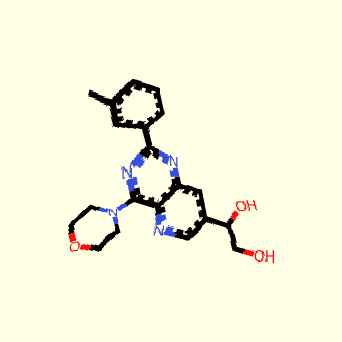 Cc1cccc(-c2nc(N3CCOCC3)c3ncc(C(O)CO)cc3n2)c1